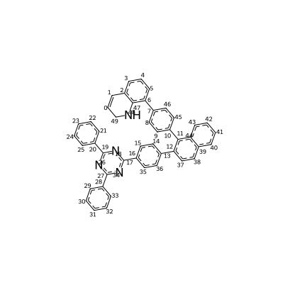 C1=Cc2cccc(-c3ccc(-c4c(-c5ccc(-c6nc(-c7ccccc7)nc(-c7ccccc7)n6)cc5)ccc5ccccc45)cc3)c2NC1